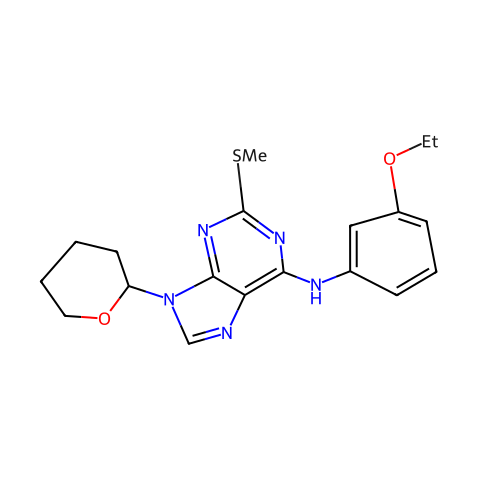 CCOc1cccc(Nc2nc(SC)nc3c2ncn3C2CCCCO2)c1